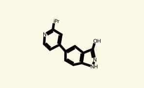 CC(C)c1cc(-c2ccc3[nH]nc(O)c3c2)ccn1